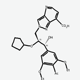 CCOc1cc([C@@H](O)[C@H](Cn2cc3nccc(C(=O)O)c3n2)OC2CCCC2)cc(OCC)c1C(C)=O